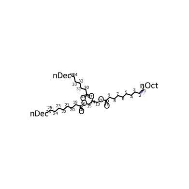 CCCCCCCC/C=C\CCCCCCCC(=O)OCC(COC(=O)CCCCCCCCCCCCCCCCC)OC(=O)CCCCCCCCCCCCCCC